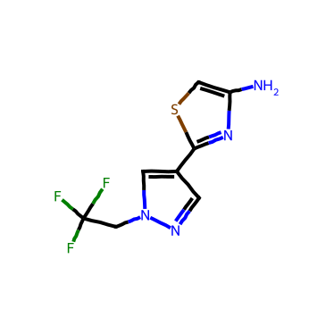 Nc1csc(-c2cnn(CC(F)(F)F)c2)n1